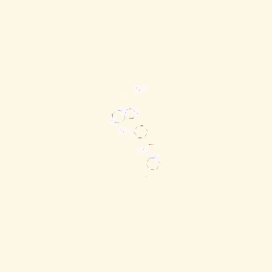 Nc1nccn2c([C@H]3CNCCO3)nc(-c3ccc(C(=O)Nc4cc(C(F)(F)F)ccn4)cc3)c12